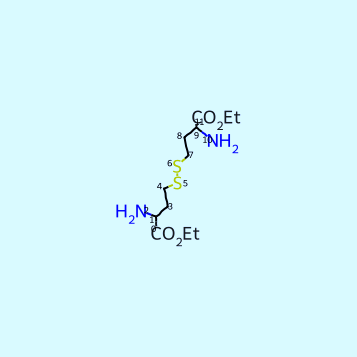 CCOC(=O)C(N)CCSSCC[C@H](N)C(=O)OCC